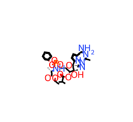 CCOC(=O)[C@H](C)N[P@](=O)(OC[C@H]1O[C@@](C#N)(c2ccc3c(N)nc(C)nn23)[C@](C)(O)[C@@H]1OC(=O)C(C)C)Oc1ccccc1